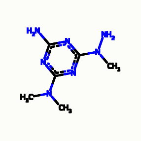 CN(C)c1nc(N)nc(N(C)N)n1